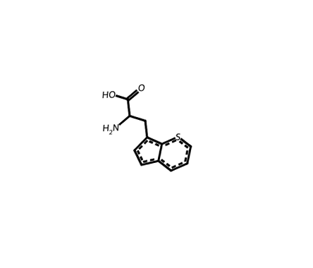 NC(Cc1ccc2cccsc1-2)C(=O)O